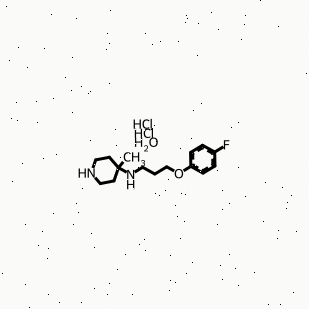 CC1(NCCCOc2ccc(F)cc2)CCNCC1.Cl.Cl.O